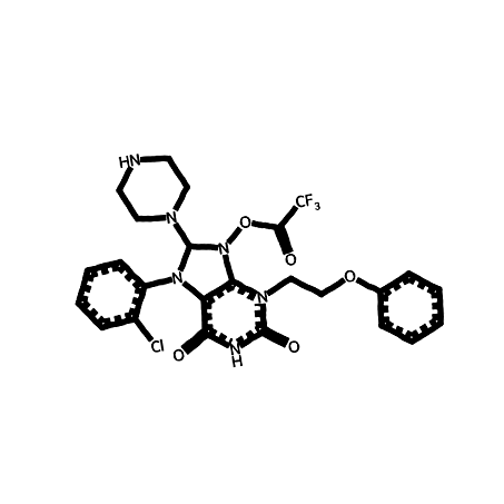 O=C(ON1c2c(c(=O)[nH]c(=O)n2CCOc2ccccc2)N(c2ccccc2Cl)C1N1CCNCC1)C(F)(F)F